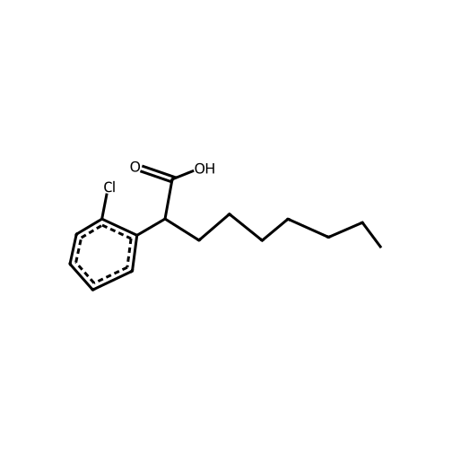 CCCCCCCC(C(=O)O)c1ccccc1Cl